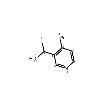 CC(C)c1ccncc1C(C)I